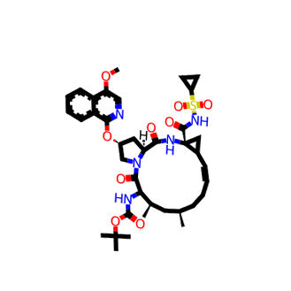 COc1cnc(O[C@@H]2C[C@H]3C(=O)N[C@]4(C(=O)NS(=O)(=O)C5CC5)CC4/C=C\CC[C@@H](C)C[C@@H](C)C(NC(=O)OC(C)(C)C)C(=O)N3C2)c2ccccc12